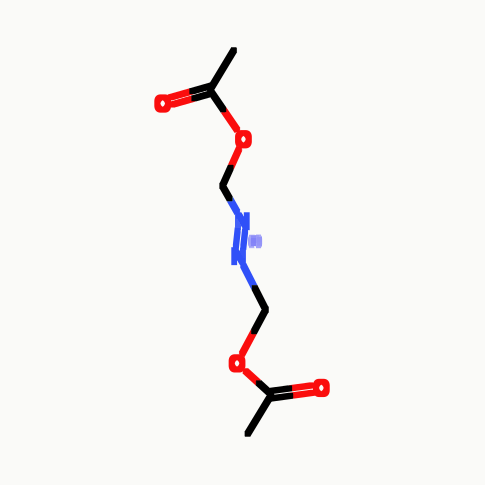 CC(=O)OC/N=N/COC(C)=O